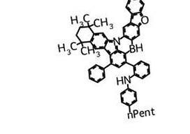 CCCCCc1ccc(Nc2ccccc2-c2cc(-c3ccccc3)c3c4cc5c(cc4n4c3c2Bc2cc3oc6ccccc6c3cc2-4)C(C)(C)CCC5(C)C)cc1